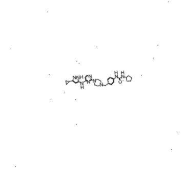 O=C(Nc1ccc(CN2CCN(c3nccc(Nc4cc(C5CC5)n[nH]4)n3)CC2)cc1)NC1CCCC1